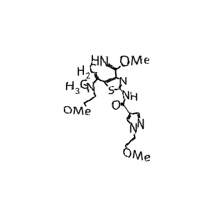 C=C(c1sc(NC(=O)c2cnn(CCOC)c2)nc1C(=N)OC)N(C)CCOC